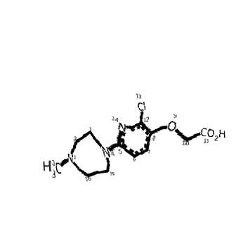 CN1CCN(c2ccc(OCC(=O)O)c(Cl)n2)CC1